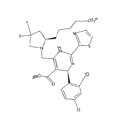 COC(=O)C1=C(CN2CC(F)(F)C[C@H]2CCCCC(=O)O)NC(c2nccs2)=N[C@H]1c1ccc(Cl)cc1Cl